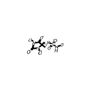 CC1(C)C(=O)N(Cl)C(=O)N1Cl.NS(=O)(=O)NCl